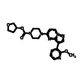 COc1ncccc1-c1cnn2ccc(N3CCN(C(=O)O[C@H]4CCOC4)CC3)nc12